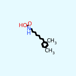 Cc1ccc(CCCCCCCNC(=O)O)c(C)c1